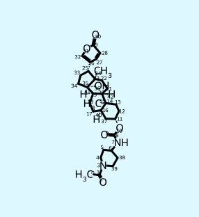 CC(=O)N1CCC(NC(=O)O[C@H]2CC[C@@]3(C)[C@H](CC[C@@H]4[C@@H]3CC[C@]3(C)[C@@H](c5ccc(=O)oc5)CC[C@]43O)C2)CC1